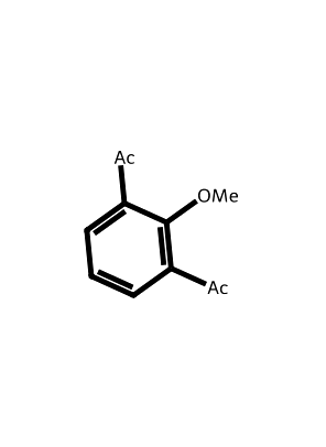 COc1c(C(C)=O)cccc1C(C)=O